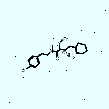 CC(C)OC(C(=O)NCCc1ccc(Br)cc1)[C@H](N)CC1CCCCC1